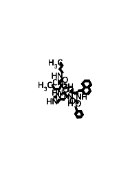 CCCCNC(=O)CC(O)C(CC(C)C)NC(=O)[C@H](Cc1c[nH]cn1)NC(=O)[C@H](Cc1cccc2ccccc12)NC(=O)OCc1ccccc1